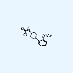 COc1ccccc1N1CCC(N(C)C(=O)Cl)CC1